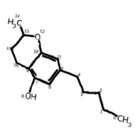 CCCCCc1cc(O)c2c(c1)OC(C)CC2